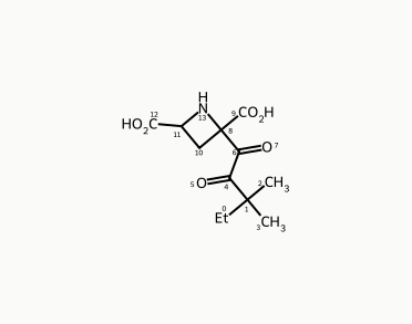 CCC(C)(C)C(=O)C(=O)C1(C(=O)O)CC(C(=O)O)N1